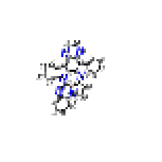 c1ccc(-n2c3ccccc3c3c4nccnc4c4c5ccccc5n(-c5cnc6ccccc6n5)c4c32)cc1